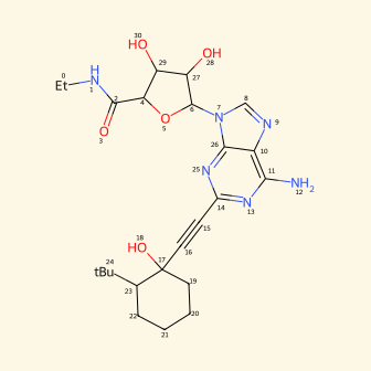 CCNC(=O)C1OC(n2cnc3c(N)nc(C#CC4(O)CCCCC4C(C)(C)C)nc32)C(O)C1O